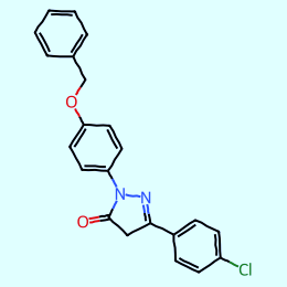 O=C1CC(c2ccc(Cl)cc2)=NN1c1ccc(OCc2ccccc2)cc1